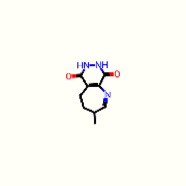 CC1C=Nc2c(c(=O)[nH][nH]c2=O)CC1